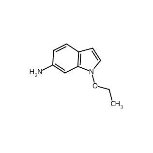 CCOn1ccc2ccc(N)cc21